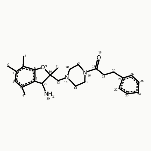 Cc1cc(C)c2c(c1C)OC(C)(CN1CCN(C(=O)CCc3ccccc3)CC1)C2N